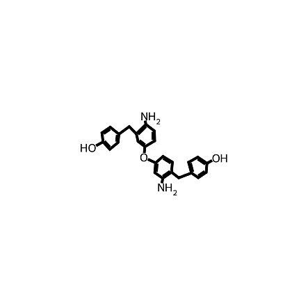 Nc1cc(Oc2ccc(N)c(Cc3ccc(O)cc3)c2)ccc1Cc1ccc(O)cc1